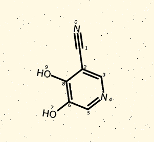 N#Cc1cncc(O)c1O